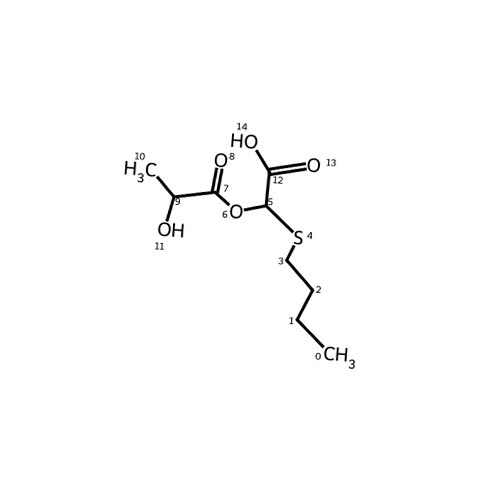 CCCCSC(OC(=O)C(C)O)C(=O)O